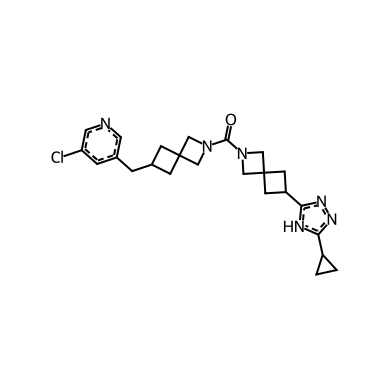 O=C(N1CC2(CC(Cc3cncc(Cl)c3)C2)C1)N1CC2(CC(c3nnc(C4CC4)[nH]3)C2)C1